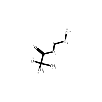 CCCOCOC(=O)C(C)(C)CC